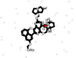 CCc1cccc2cc(OCOC)cc(-c3cc4nc(OC[C@]56CCCN5C[C@@H](F)C6)nc5c4c(n3)OC[C@@H]3C5N[C@@H]4CC[C@H]3N4C(=O)OC(C)(C)C)c12